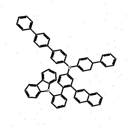 C1=CC(c2ccccc2)CC=C1N(c1ccc(-c2ccc(-c3ccccc3)cc2)cc1)c1ccc(-c2ccccc2-n2c3ccccc3c3ccccc32)c(-c2ccc3ccccc3c2)c1